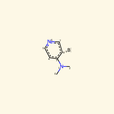 CN(C)c1ccncc1.[B]